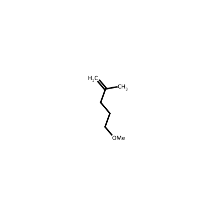 [C]OCCCC(=C)C